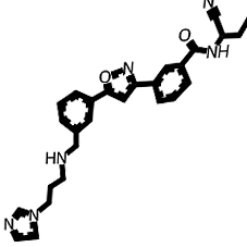 CCC(C#N)NC(=O)c1cccc(-c2cc(-c3cccc(CNCCCn4ccnc4)c3)on2)c1